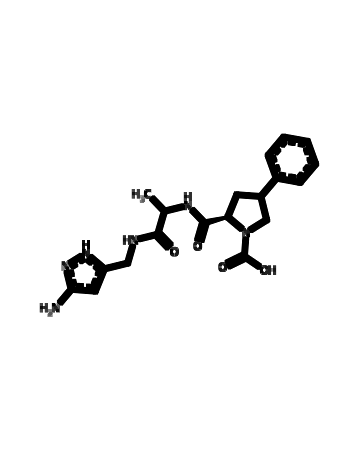 CC(NC(=O)[C@H]1CC(c2ccccc2)CN1C(=O)O)C(=O)NCc1cc(N)n[nH]1